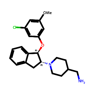 COc1cc(Cl)cc(O[C@@H]2c3ccccc3C[C@H]2N2CCC(CN)CC2)c1